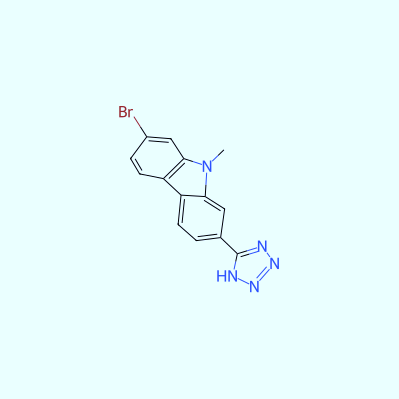 Cn1c2cc(Br)ccc2c2ccc(-c3nnn[nH]3)cc21